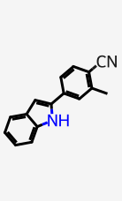 Cc1cc(-c2cc3ccccc3[nH]2)ccc1C#N